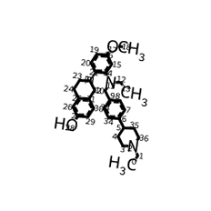 CCN1CCC(c2ccc(CN(CC)c3cc(OC)ccc3[C@@H]3CCc4cc(O)ccc4C3)cc2)CC1